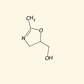 CC1=NCC(CO)O1